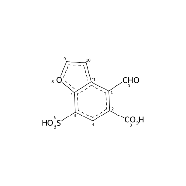 O=Cc1c(C(=O)O)cc(S(=O)(=O)O)c2occc12